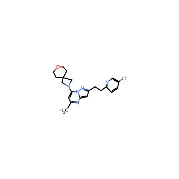 Cc1cc(N2CC3(CCOCC3)C2)n2nc(CCc3ccc(Cl)cn3)cc2n1